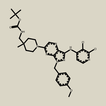 COc1ccc(Cn2nc(Nc3ccnc(Cl)c3Cl)c3ncc(N4CCC(C)(CNC(=O)OC(C)(C)C)CC4)nc32)cc1